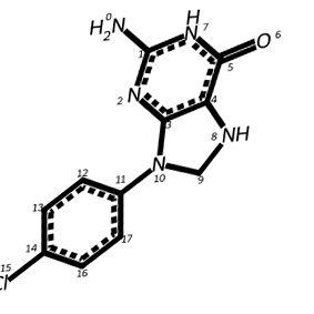 Nc1nc2c(c(=O)[nH]1)NCN2c1ccc(Cl)cc1